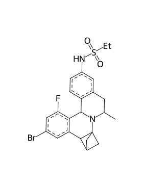 CCS(=O)(=O)Nc1ccc2c(c1)CC(C)N1C2c2c(F)cc(Br)cc2C2C3CC21C3